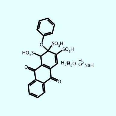 O.O.O.O=C1C2=C(C(=O)c3ccccc31)C(S(=O)(=O)O)C(Oc1ccccc1)(S(=O)(=O)O)C(S(=O)(=O)O)=C2.[NaH]